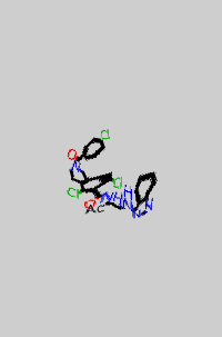 CC(=O)[C@H](CNc1ncnc2ccccc12)NC(=O)c1c(Cl)cc2c(c1Cl)CCN(C(=O)c1ccc(Cl)cc1)C2